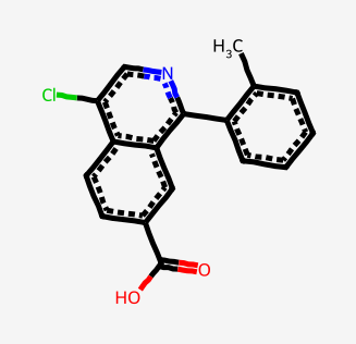 Cc1ccccc1-c1ncc(Cl)c2ccc(C(=O)O)cc12